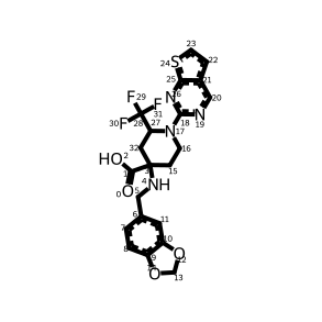 O=C(O)C1(NCc2ccc3c(c2)OCO3)CCN(c2ncc3ccsc3n2)C(C(F)(F)F)C1